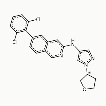 Clc1cccc(Cl)c1-c1ccc2cnc(Nc3cnn([C@@H]4CCOC4)c3)cc2c1